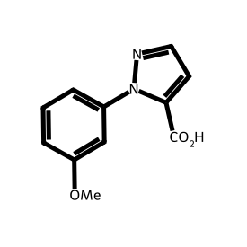 COc1cccc(-n2nccc2C(=O)O)c1